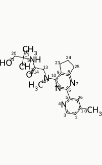 Cc1ccnc(-c2nc3c(c(N(C)CC(=O)NC(C)(C)CO)n2)CCC3)c1